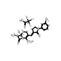 N[C@@H]1C(=O)N2C(C(=O)O)=C(/C=C3\CCN(c4cccc(C(F)(F)F)c4)C3=O)CS[C@H]12.O=C(O)C(F)(F)F